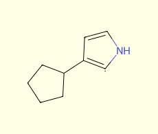 [c]1[nH]ccc1C1CCCC1